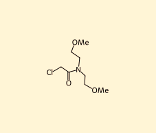 COCCN(CCOC)C(=O)CCl